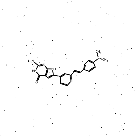 CN(C)c1ccc(C=Cc2cc(-c3cc4c(=O)[nH]c(N)nc4[nH]3)ccn2)cc1